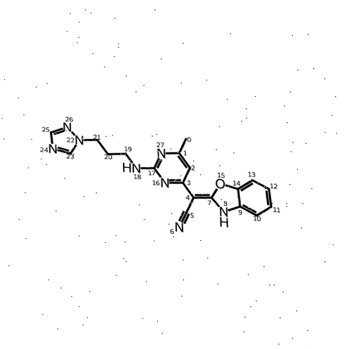 Cc1cc(C(C#N)=C2Nc3ccccc3O2)nc(NCCCn2cncn2)n1